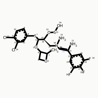 CC1OCC1OC(Sc1ccc(Cl)c(Cl)c1)[C@H](CN(N)/C=C(\N)c1cc(F)c(F)c(F)c1)OSO